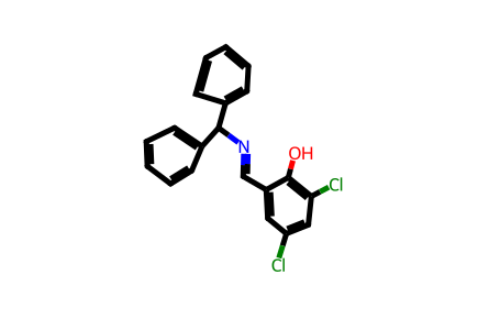 Oc1c(Cl)cc(Cl)cc1C=NC(c1ccccc1)c1ccccc1